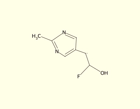 Cc1ncc([CH]C(O)F)cn1